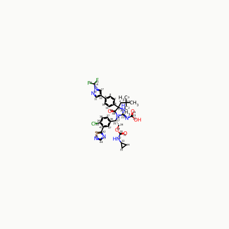 CC(C)(C)CC1(c2ccc(-c3cnn(C(F)F)c3)cc2)NC(=NC(=O)O)N([C@H](COC(=O)NC2CC2)c2ccc(Cl)c(-c3ncns3)c2)C1=O